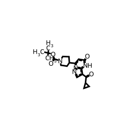 CC(C)(C)OC(=O)N1CCC(c2cc(=O)[nH]c3c(C(=O)C4CC4)cnn23)CC1